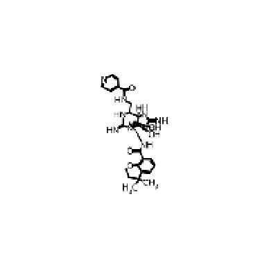 CC1(C)CCOc2c(C(=O)N[C@H]3CN4C(=N)N[C@@H](CNC(=O)c5ccncc5)[C@@H]5NC(=N)N[C@@]54C3(O)O)cccc21